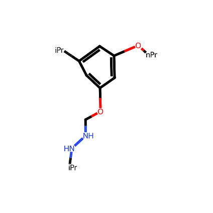 CCCOc1cc(OCNNC(C)C)cc(C(C)C)c1